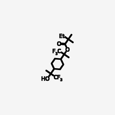 CCC(C)(C)C(=O)OC(C)(C1CCC(C(C)(O)C(F)(F)F)CC1)C(F)(F)F